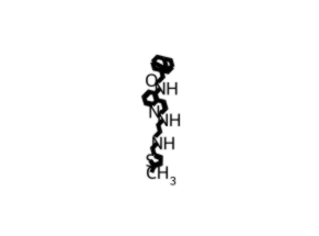 Cc1ccc(CNCCCNc2ccc3c(NC(=O)CC45CC6CC(CC(C6)C4)C5)cccc3n2)s1